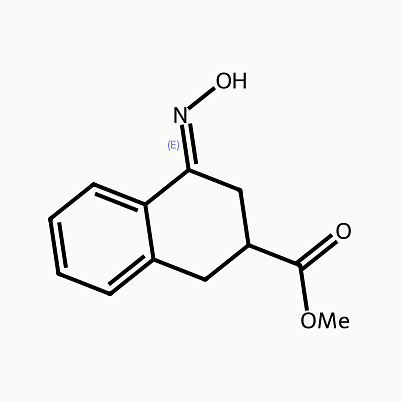 COC(=O)C1C/C(=N\O)c2ccccc2C1